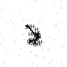 CC(=S)NCCCCCCNc1nc2c(ncn2C(C)O[C@H](CCP(=O)(O)O)[C@H](O)CO)c(=S)[nH]1